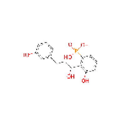 O=P(O)(O)c1cccc(O)c1C(O)CCc1cccc(O)c1